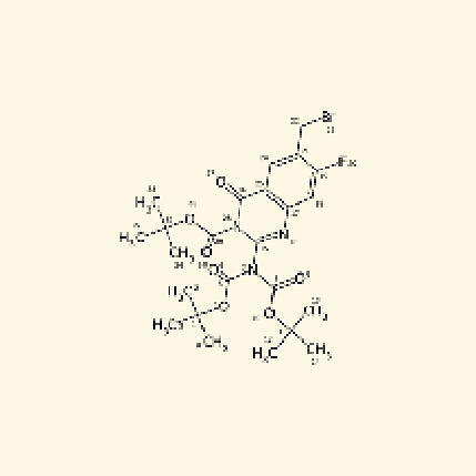 CC(C)(C)OC(=O)N(C(=O)OC(C)(C)C)c1nc2cc(F)c(CBr)cc2c(=O)n1C(=O)OC(C)(C)C